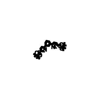 CC1(C)OB(c2ccc(-c3cccc(-c4ccc(B5OC(C)(C)C(C)(C)O5)cn4)c3)nc2)OC1(C)C